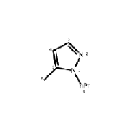 CCCn1n[c]cc1C